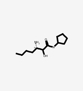 CCCC[C@H](N)C(O)C(=O)[N]C1CCCC1